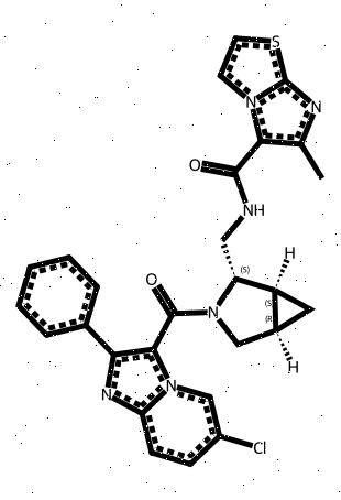 Cc1nc2sccn2c1C(=O)NC[C@@H]1[C@H]2C[C@H]2CN1C(=O)c1c(-c2ccccc2)nc2ccc(Cl)cn12